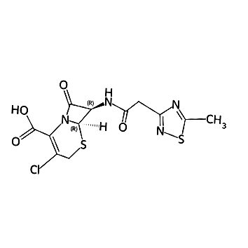 Cc1nc(CC(=O)N[C@@H]2C(=O)N3C(C(=O)O)=C(Cl)CS[C@H]23)ns1